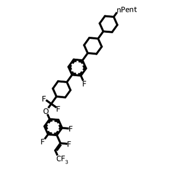 CCCCCC1CCC(C2CCC(c3ccc(C4CCC(C(F)(F)Oc5cc(F)c(/C(F)=C/C(F)(F)F)c(F)c5)CC4)c(F)c3)CC2)CC1